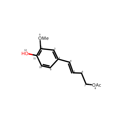 COc1cc(C=CCCOC(C)=O)ccc1O